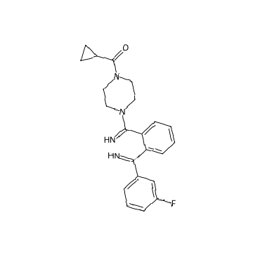 N=C(c1cccc(F)c1)c1ccccc1C(=N)N1CCN(C(=O)C2CC2)CC1